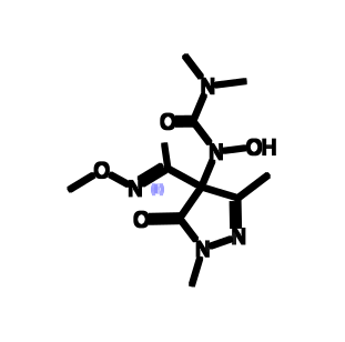 CO/N=C(\C)C1(N(O)C(=O)N(C)C)C(=O)N(C)N=C1C